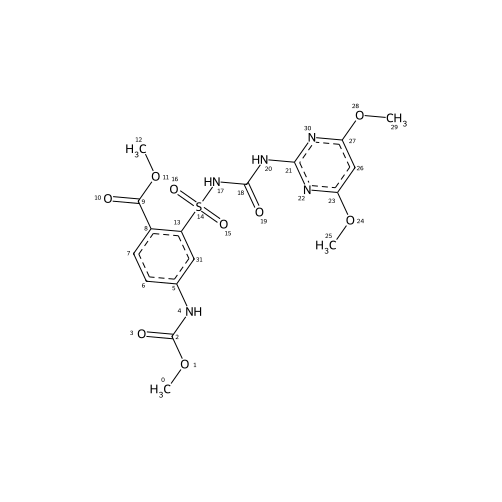 COC(=O)Nc1ccc(C(=O)OC)c(S(=O)(=O)NC(=O)Nc2nc(OC)cc(OC)n2)c1